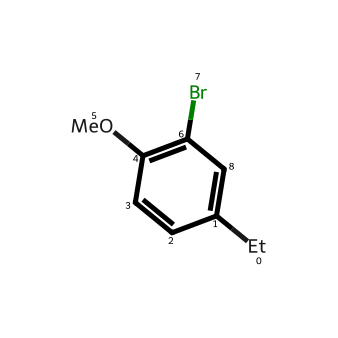 CCc1ccc(OC)c(Br)c1